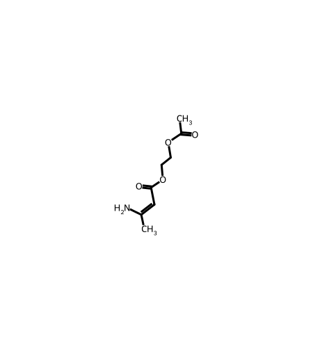 CC(=O)OCCOC(=O)C=C(C)N